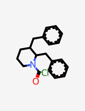 O=C(Cl)N1CCCC(Cc2ccccc2)C1Cc1ccccc1